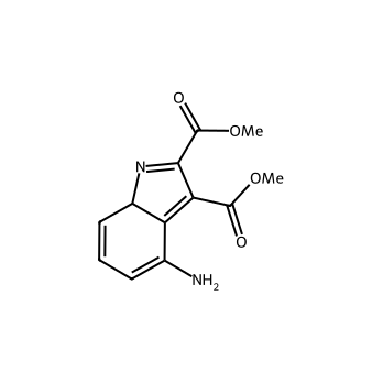 COC(=O)C1=NC2C=CC=C(N)C2=C1C(=O)OC